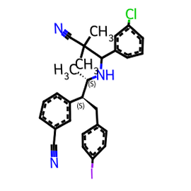 C[C@H](NC(c1cccc(Cl)c1)C(C)(C)C#N)[C@@H](Cc1ccc(I)cc1)c1cccc(C#N)c1